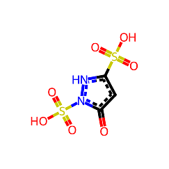 O=c1cc(S(=O)(=O)O)[nH]n1S(=O)(=O)O